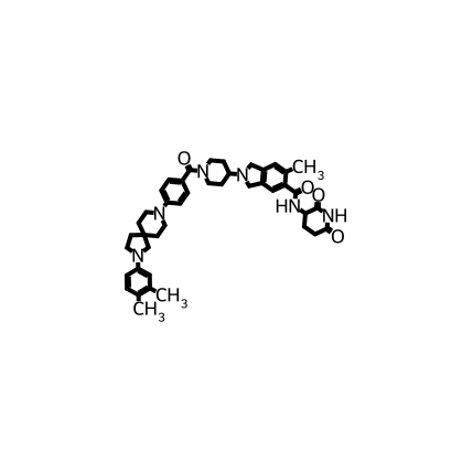 Cc1ccc(N2CCC3(CCN(c4ccc(C(=O)N5CCC(N6Cc7cc(C)c(C(=O)NC8CCC(=O)NC8=O)cc7C6)CC5)cc4)CC3)C2)cc1C